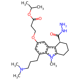 CC(C)OC(=O)CCOc1cc(CCCN(C)C)c2c(c1)c1c(n2C)CCC[C@@H]1C(=O)NN